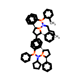 CCCCN(P(c1ccccc1)c1ccccc1C)P1[C@H](c2ccccc2)C(c2ccc(P(c3ccccc3)N(C3CCCC3)P3[C@H](c4ccccc4)CC[C@H]3c3ccccc3)cc2)C[C@H]1c1ccccc1